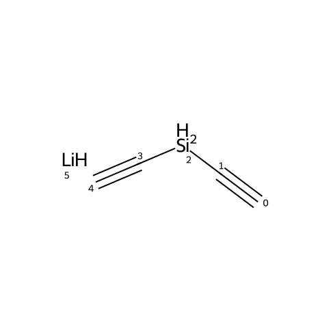 C#C[SiH2]C#C.[LiH]